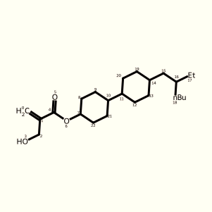 C=C(CO)C(=O)OC1CCC(C2CCC(CC(CC)CCCC)CC2)CC1